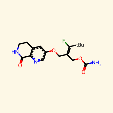 CC(C)(C)C(F)=C(COC(N)=O)COc1cnc2c(c1)CCNC2=O